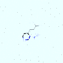 CCC(CCc1ccncc1)C(C)C.NN